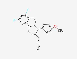 C=CCCC1CCC2c3cc(F)cc(F)c3CCC2C1c1ccc(OC(F)(F)F)cc1